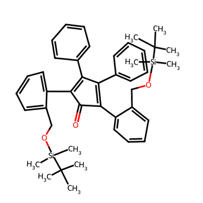 CC(C)(C)[Si](C)(C)OCc1ccccc1C1=C(c2ccccc2)C(c2ccccc2)=C(c2ccccc2CO[Si](C)(C)C(C)(C)C)C1=O